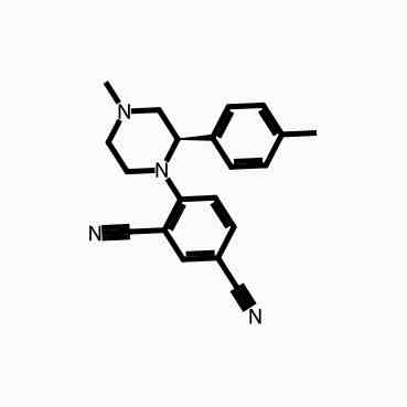 Cc1ccc([C@@H]2CN(C)CCN2c2ccc(C#N)cc2C#N)cc1